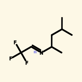 CC(C)CC(C)/N=C/C(F)(F)F